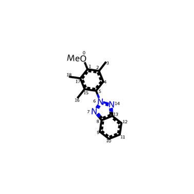 COc1c(C)cc(-n2nc3ccccc3n2)c(C)c1C